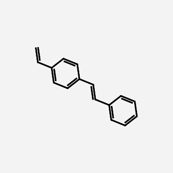 C=Cc1ccc(C=Cc2ccccc2)cc1